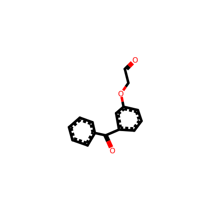 O=CCOc1cccc(C(=O)c2ccccc2)c1